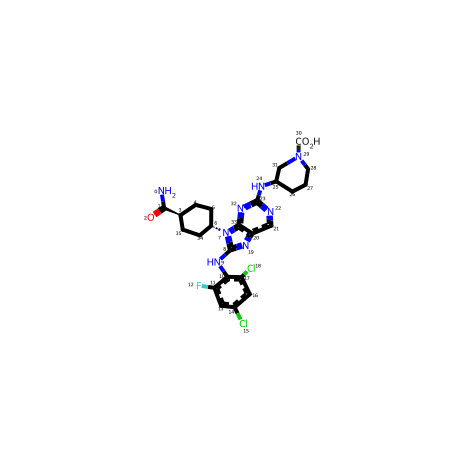 NC(=O)[C@H]1CC[C@H](n2c(Nc3c(F)cc(Cl)cc3Cl)nc3cnc(NC4CCCN(C(=O)O)C4)nc32)CC1